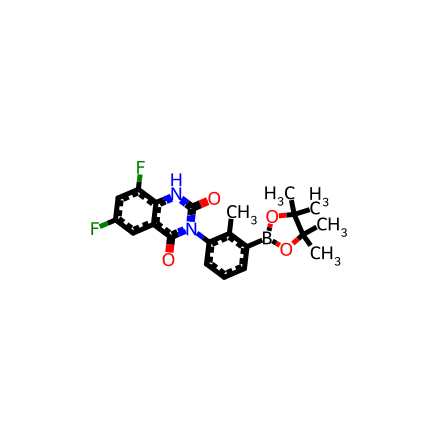 Cc1c(B2OC(C)(C)C(C)(C)O2)cccc1-n1c(=O)[nH]c2c(F)cc(F)cc2c1=O